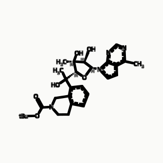 Cc1ncnc2c1ccn2[C@@H]1O[C@H](C(C)(O)c2cccc3c2CN(C(=O)OC(C)(C)C)CC3)[C@@](C)(O)[C@H]1O